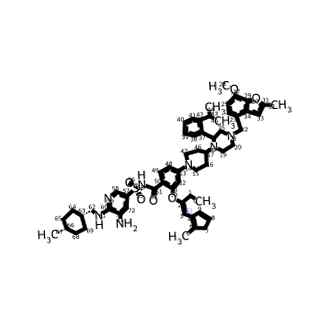 CC/C(=C\C1=C(C)CC=C1)Oc1cc(N2CCC(N3CCN(Cc4ccc(OC)c5oc(C)cc45)CC3c3ccccc3C(C)C)CC2)ccc1C(=O)NS(=O)(=O)c1cnc(NC[C@H]2CC[C@@H](C)CC2)c(N)c1